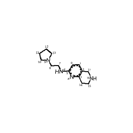 c1cc2c(nc1NCCN1CCCC1)CCNC2